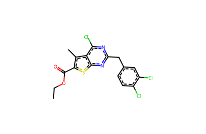 CCOC(=O)c1sc2nc(Cc3ccc(Cl)c(Cl)c3)nc(Cl)c2c1C